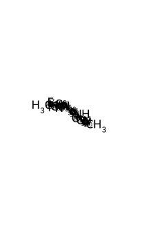 Cc1ccc(OCC(=O)N[C@H]2CC[C@H](CCN3CCc4sc(OCC(C)(F)F)nc4C3)CC2)cn1